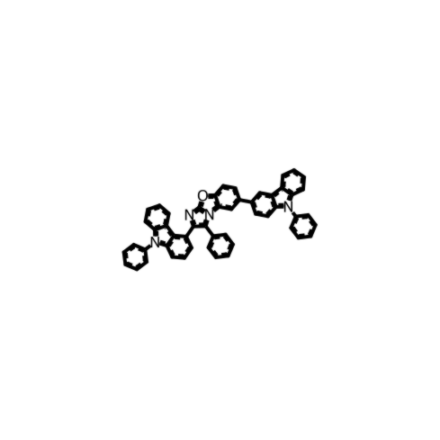 c1ccc(-c2c(-c3cccc4c3c3ccccc3n4-c3ccccc3)nc3oc4ccc(-c5ccc6c(c5)c5ccccc5n6-c5ccccc5)cc4n23)cc1